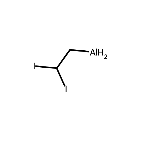 [AlH2][CH2]C(I)I